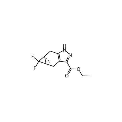 CCOC(=O)c1n[nH]c2c1CC1C(F)(F)[C@@]1(C)C2